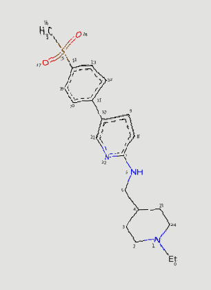 CCN1CCC(CNc2ccc(-c3ccc(S(C)(=O)=O)cc3)cn2)CC1